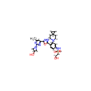 Cc1cc(-c2nnc(-c3ccc(NS(=O)(=O)CCO)cc3N3CCC4(CC3)CC4)o2)nc(N2CC(O)C2)n1